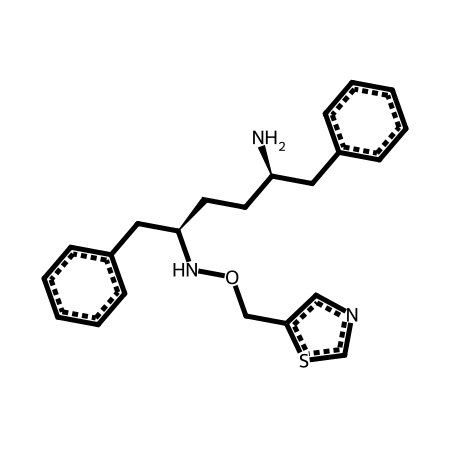 N[C@H](CC[C@H](Cc1ccccc1)NOCc1cncs1)Cc1ccccc1